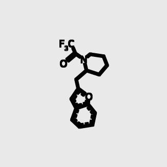 O=C(N1CCCCC1Cc1cc2ccccc2o1)C(F)(F)F